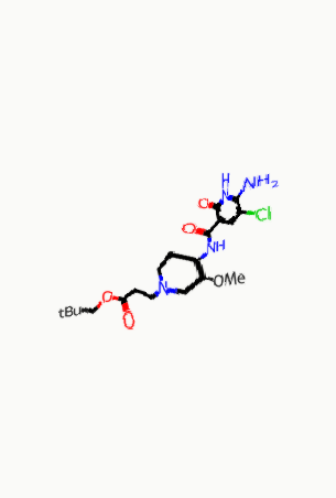 CO[C@H]1CN(CCC(=O)OCC(C)(C)C)CC[C@H]1NC(=O)c1cc(Cl)c(N)[nH]c1=O